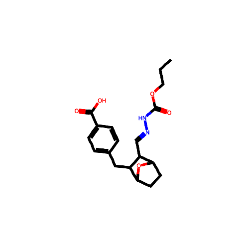 CCCOC(=O)NN=CC1C2CCC(O2)C1Cc1ccc(C(=O)O)cc1